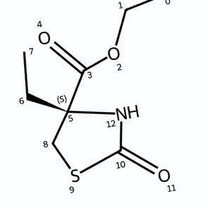 CCOC(=O)[C@@]1(CC)CSC(=O)N1